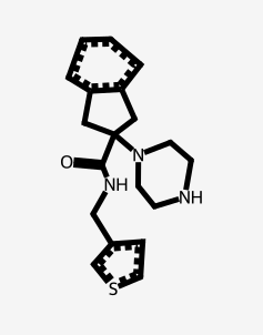 O=C(NCc1ccsc1)C1(N2CCNCC2)Cc2ccccc2C1